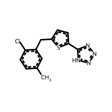 Cc1ccc(Cl)c(Cc2ccc(-c3nnn[nH]3)s2)c1